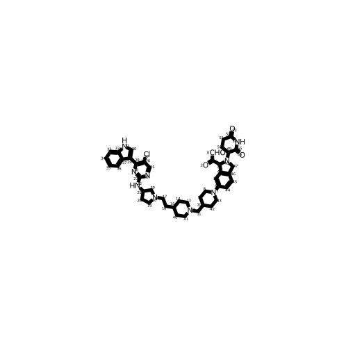 O=CC(=O)C1c2cc(N3CCC(CN4CCC(CCN5CCC(Nc6ncc(Cl)c(-c7c[nH]c8ccccc78)n6)C5)CC4)CC3)ccc2CN1C1CCC(=O)NC1=O